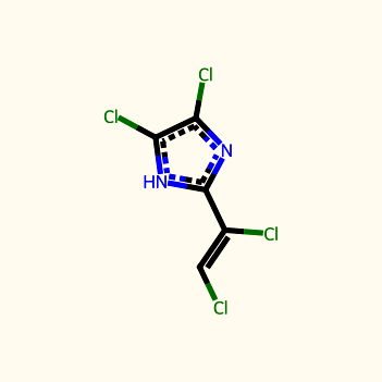 Cl/C=C(\Cl)c1nc(Cl)c(Cl)[nH]1